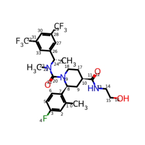 Cc1cc(F)ccc1[C@@H]1C[C@H](C(=O)NCCO)CCN1C(=O)N(C)[C@@H](C)c1cc(C(F)(F)F)cc(C(F)(F)F)c1